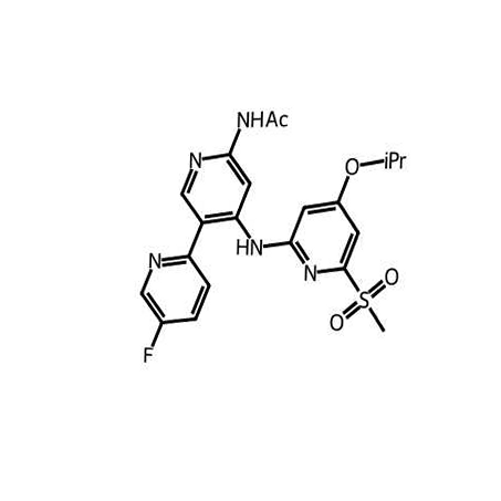 CC(=O)Nc1cc(Nc2cc(OC(C)C)cc(S(C)(=O)=O)n2)c(-c2ccc(F)cn2)cn1